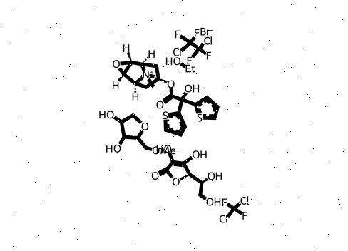 CCO.COCC1OCC(O)C1O.C[N+]1(C)[C@@H]2C[C@@H](OC(=O)C(O)(c3cccs3)c3cccs3)C[C@H]1[C@@H]1O[C@@H]12.FC(F)(Cl)C(F)(F)Cl.FC(F)(Cl)Cl.O=C1O[C@H]([C@@H](O)CO)C(O)=C1O.[Br-]